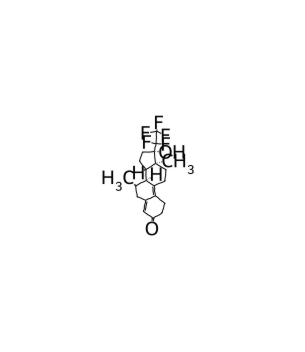 C[C@@H]1CC2=CC(=O)CCC2=C2CC[C@@]3(C)[C@@H](CC[C@@]3(O)C(F)(F)C(F)(F)F)[C@@H]21